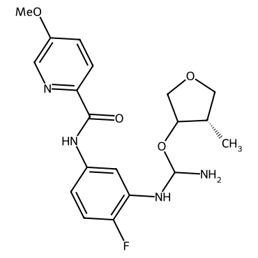 COc1ccc(C(=O)Nc2ccc(F)c(NC(N)OC3COC[C@@H]3C)c2)nc1